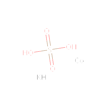 O=S(=O)(O)O.[Co].[KH]